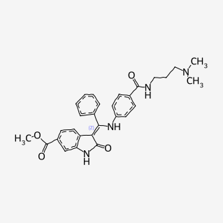 COC(=O)c1ccc2c(c1)NC(=O)/C2=C(\Nc1ccc(C(=O)NCCCN(C)C)cc1)c1ccccc1